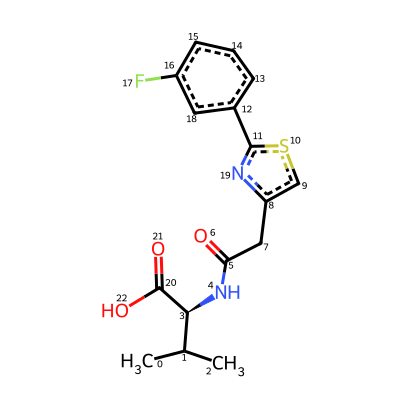 CC(C)[C@H](NC(=O)Cc1csc(-c2cccc(F)c2)n1)C(=O)O